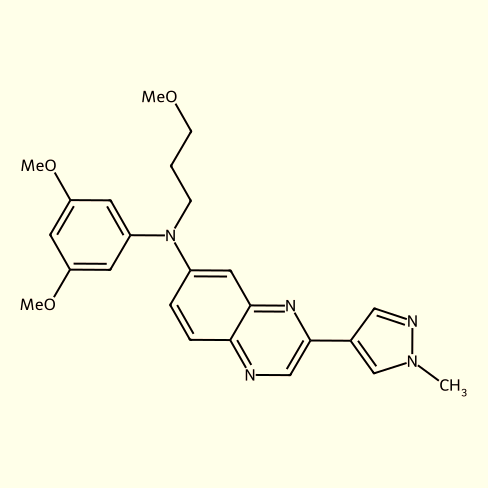 COCCCN(c1cc(OC)cc(OC)c1)c1ccc2ncc(-c3cnn(C)c3)nc2c1